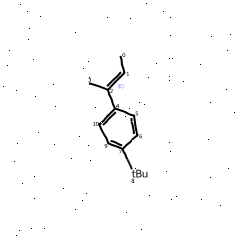 C/C=C(\C)c1ccc(C(C)(C)C)cc1